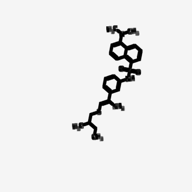 CCC(C)CS/C=C(\N)c1cccc(NS(=O)(=O)c2cccc3c(N(C)C)cccc23)c1